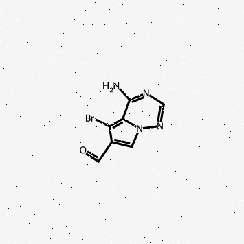 Nc1ncnn2cc(C=O)c(Br)c12